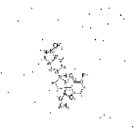 COC(=O)[C@@]1(c2cccc(F)c2C)CCC(c2ccc3c(cnn3C)c2)C1